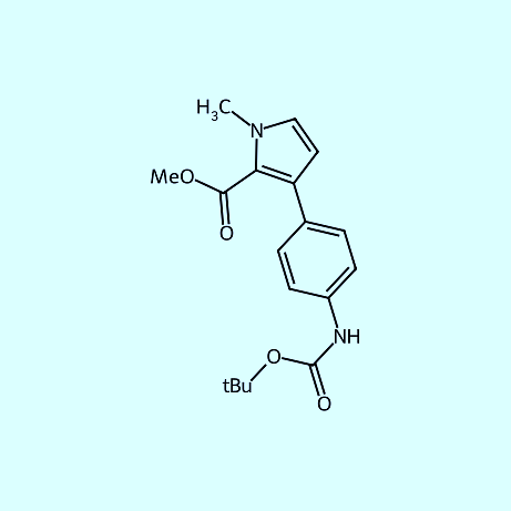 COC(=O)c1c(-c2ccc(NC(=O)OC(C)(C)C)cc2)ccn1C